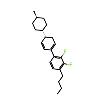 CCCCc1ccc(C2=CCC([C@H]3CC[C@H](C)CC3)C=C2)c(F)c1F